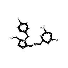 CCc1cnc(CNCc2cc(O)cc(C)n2)n1Cc1ccc(F)cc1